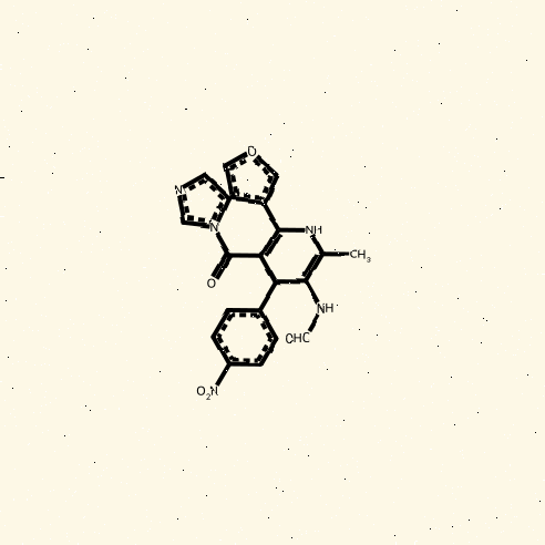 CC1=C(NC=O)C(c2ccc([N+](=O)[O-])cc2)C(C(=O)n2ccnc2)=C(c2ccoc2)N1